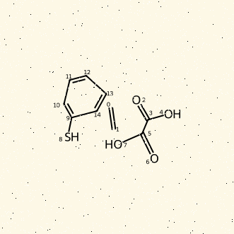 C=C.O=C(O)C(=O)O.Sc1ccccc1